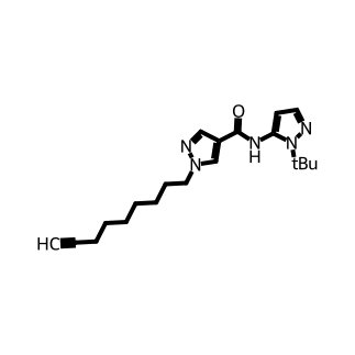 C#CCCCCCCCn1cc(C(=O)Nc2ccnn2C(C)(C)C)cn1